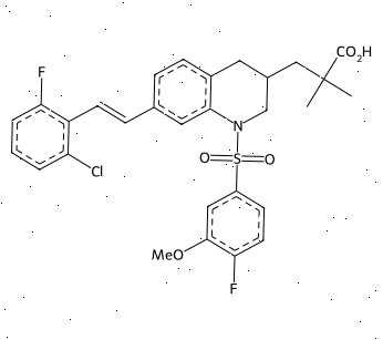 COc1cc(S(=O)(=O)N2CC(CC(C)(C)C(=O)O)Cc3ccc(C=Cc4c(F)cccc4Cl)cc32)ccc1F